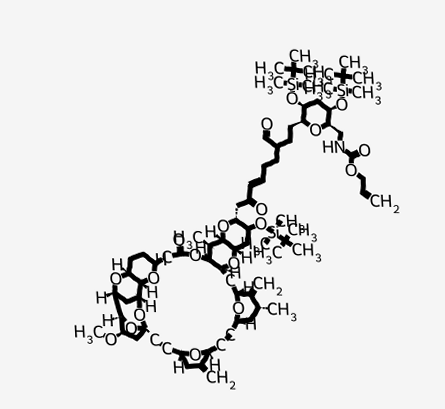 C=CCOC(=O)NC[C@H]1O[C@@H](CCC(C=O)CC/C=C/C(=O)C[C@H]2O[C@H]3[C@H](C)[C@H]4OC(=O)C[C@H]5CC[C@@H]6O[C@@H]7C[C@@H](O[C@@]8(CC[C@H]9CC(=C)[C@H](CC[C@H]%10C[C@@H](C)C(=C)[C@@H](C[C@@H]4O[C@H]3CC2O[Si](C)(C)C(C)(C)C)O%10)O9)C[C@@H](OC)[C@@H]7O8)[C@H]6O5)[C@@H](O[Si](C)(C)C(C)(C)C)C[C@H]1O[Si](C)(C)C(C)(C)C